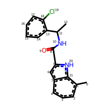 Cc1cccc2cc(C(=O)NC(C)c3ccccc3Cl)[nH]c12